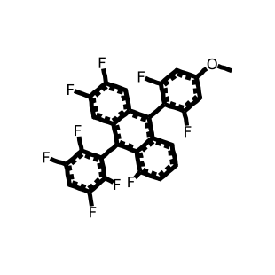 COc1cc(F)c(-c2c3cc(F)c(F)cc3c(-c3c(F)c(F)cc(F)c3F)c3c(F)cccc23)c(F)c1